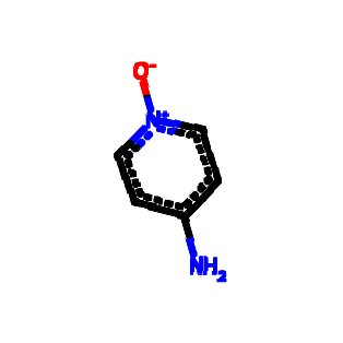 Nc1cc[n+]([O-])cc1